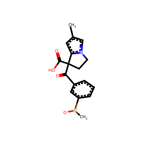 Cc1cc2n(c1)CCC2(C(=O)O)C(=O)c1cccc([S+](C)[O-])c1